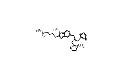 CCCN(CCC)CCCCc1nc2cc(CN(CC3=NCCN3C)Cc3ncc[nH]3)ccc2n1CCC